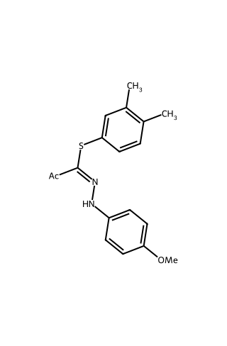 COc1ccc(N/N=C(/Sc2ccc(C)c(C)c2)C(C)=O)cc1